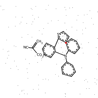 C=C(C#N)C(=O)O.c1ccc(N(c2ccccc2)c2ccccc2-c2cccs2)cc1